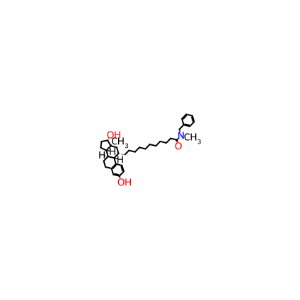 CN(Cc1ccccc1)C(=O)CCCCCCCCCC[C@H]1C[C@]2(C)[C@@H](O)CC[C@H]2[C@@H]2CCc3cc(O)ccc3[C@@H]12